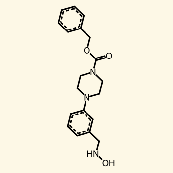 O=C(OCc1ccccc1)N1CCN(c2cccc(CNO)c2)CC1